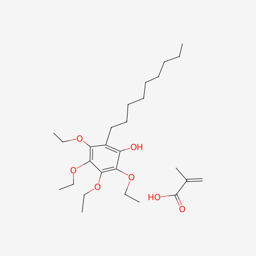 C=C(C)C(=O)O.CCCCCCCCCc1c(O)c(OCC)c(OCC)c(OCC)c1OCC